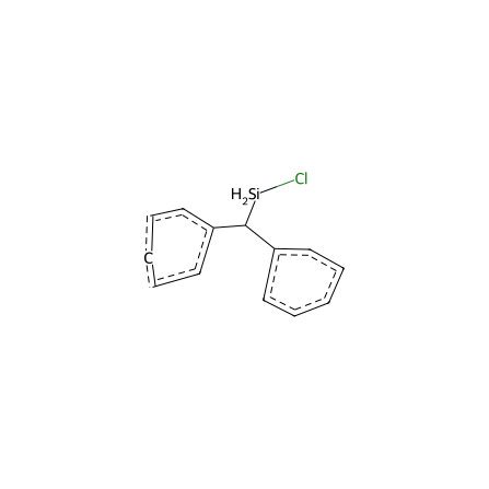 Cl[SiH2]C(c1ccccc1)c1ccccc1